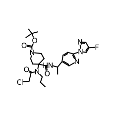 CCCN(C(=O)CCl)C1(C(=O)NC(C)c2ccc(-n3cc(F)cn3)nc2)CCN(C(=O)OC(C)(C)C)CC1